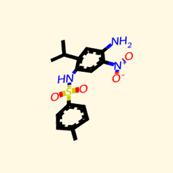 Cc1ccc(S(=O)(=O)Nc2cc([N+](=O)[O-])c(N)cc2C(C)C)cc1